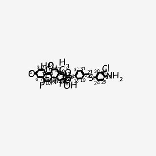 C[C@]12C=CC(=O)C=C1[C@@H](F)C[C@H]1C3C[C@H]4O[C@@H](c5ccc(CSc6ccc(N)c(Cl)c6)cc5)O[C@@]4(C(=O)CO)[C@@]3(C)C[C@H](O)[C@@]12F